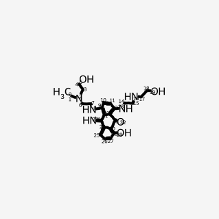 CCN(CCO)CCNc1ccc(NCCNCCO)c2c1C(=N)c1cccc(O)c1C2=O